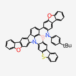 CC(C)(C)c1ccc(N2B3c4cc5c(cc4-n4c6cc7oc8ccccc8c7cc6c6ccc(c3c64)-c3cc4oc6ccccc6c4cc32)sc2ccccc25)cc1